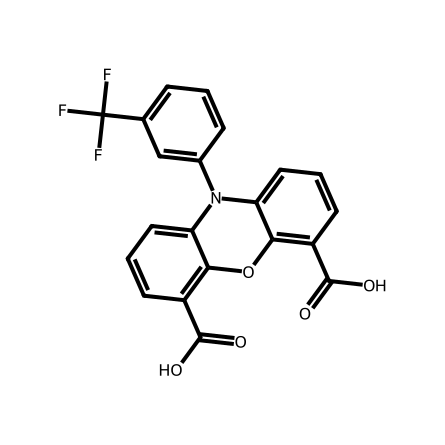 O=C(O)c1cccc2c1Oc1c(C(=O)O)cccc1N2c1cccc(C(F)(F)F)c1